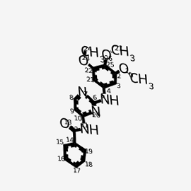 COc1cc(Nc2nccc(NC(=O)c3ccccc3)n2)cc(OC)c1OC